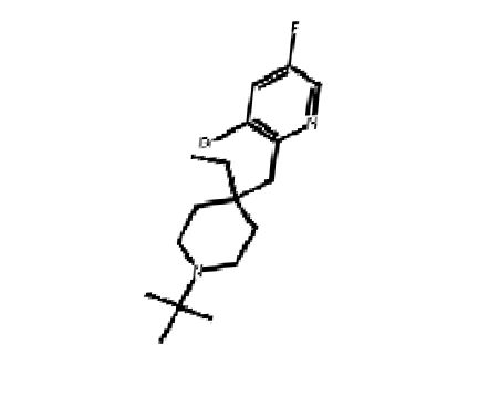 CCC1(Cc2ncc(F)cc2Br)CCN(C(C)(C)C)CC1